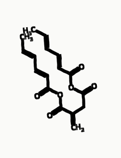 C=C(CC(=O)OC(=O)C=CC=CC)C(=O)OC(=O)C=CC=CC